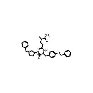 CC(C[CH]C(=O)NC(Cc1ccc(OCc2ccccc2)cc1)C(=O)NC1CCN(Cc2ccccc2)C1)C(N)=O